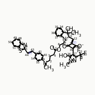 CN(CCCC(=O)OCC[N+]1=C(/C=C2\C(=O)C(c3c(C(F)(F)F)nn(C)c3O)=C2[O-])C(C)(C)c2ccccc21)c1ccc(/C=C/c2nc3ccccc3s2)cc1